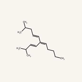 CCCCC=C(C=CCC(C)C)C=CC(C)C